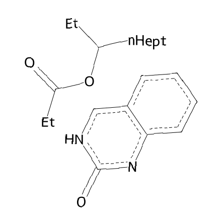 CCCCCCCC(CC)OC(=O)CC.O=c1nc2ccccc2c[nH]1